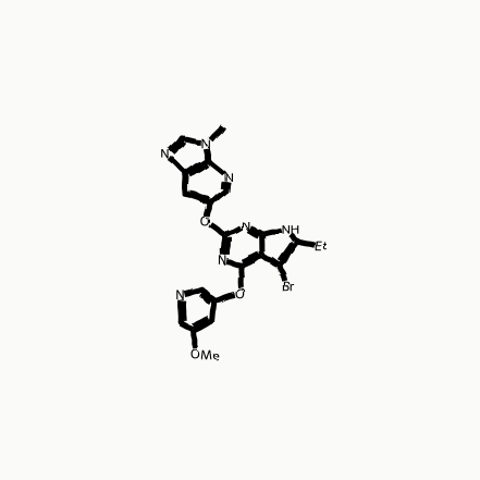 CCc1[nH]c2nc(Oc3cnc4c(c3)ncn4C)nc(Oc3cncc(OC)c3)c2c1Br